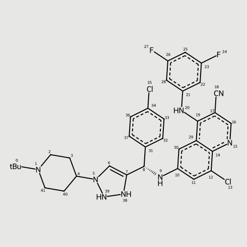 CC(C)(C)N1CCC(N2C=C([C@@H](Nc3cc(Cl)c4ncc(C#N)c(Nc5cc(F)cc(F)c5)c4c3)c3ccc(Cl)cc3)NN2)CC1